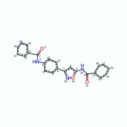 O=C(Nc1ccc(-c2cc(NC(=O)c3ccccc3)on2)cc1)c1ccccc1